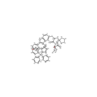 CCCCC(=O)N(Cc1ccc2oc(-c3ccccc3-c3nnnn3C(c3ccccc3)(c3ccccc3)c3ccccc3)c(Br)c2c1)CC1(OC(=O)OCC)CCCC1